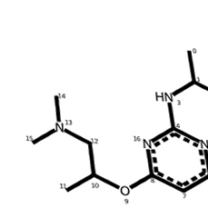 CC(C)Nc1nccc(OC(C)CN(C)C)n1